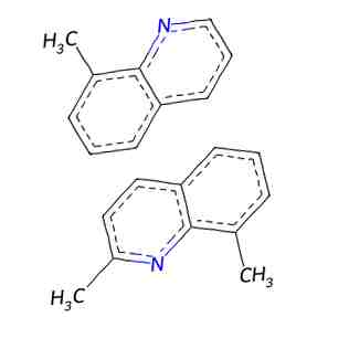 Cc1ccc2cccc(C)c2n1.Cc1cccc2cccnc12